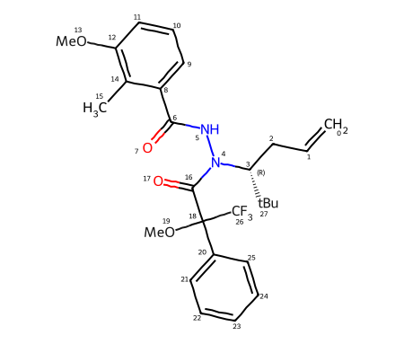 C=CC[C@@H](N(NC(=O)c1cccc(OC)c1C)C(=O)C(OC)(c1ccccc1)C(F)(F)F)C(C)(C)C